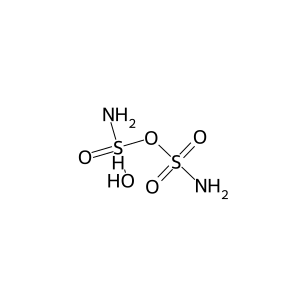 NS(=O)(=O)O[SH](N)(=O)O